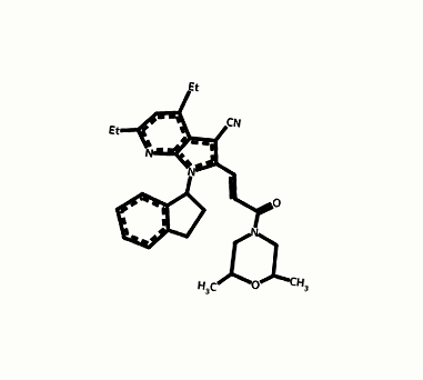 CCc1cc(CC)c2c(C#N)c(/C=C/C(=O)N3CC(C)OC(C)C3)n(C3CCc4ccccc43)c2n1